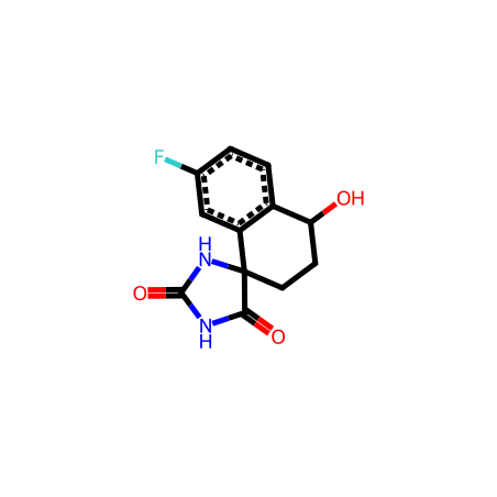 O=C1NC(=O)C2(CCC(O)c3ccc(F)cc32)N1